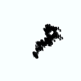 C=C1C[C@@H]2CC[C@@]3(O)C[C@H]4OC5C6[C@@H](O3)[C@H]3O[C@H](CC[C@@H]3O[C@H]6[C@@H]54)CC(=O)C[C@@H]3[C@@H](OC)[C@@H](C[C@H](O)CNC(=O)[C@H](OCNC(=O)CNC(=O)[C@H](Cc4ccccc4)NC(=O)CNC(=O)CNC(=O)CCCCCN4C(=O)C=CC4=O)C4CC4)O[C@H]3C[C@H]3O[C@@H](CC[C@@H]1O2)C[C@@H](C)C3=C